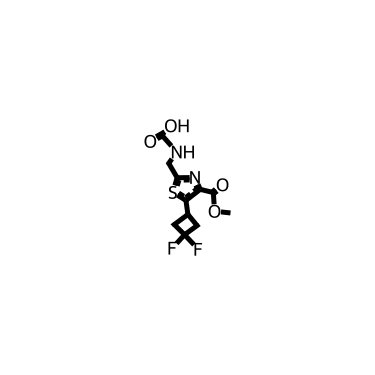 COC(=O)c1nc(CNC(=O)O)sc1C1CC(F)(F)C1